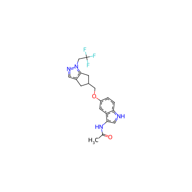 CC(=O)Nc1c[nH]c2ccc(OCC3Cc4cnn(CC(F)(F)F)c4C3)cc12